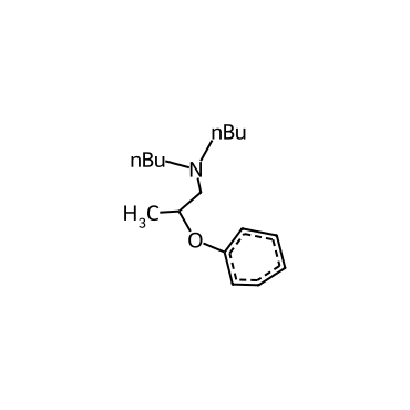 CCCCN(CCCC)CC(C)Oc1ccccc1